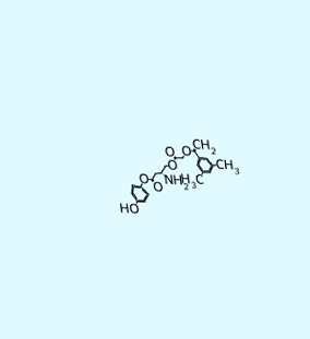 C=C(OCC(=O)OC[C@H](N)CC(=O)Oc1ccc(O)cc1)c1cc(C)cc(C)c1